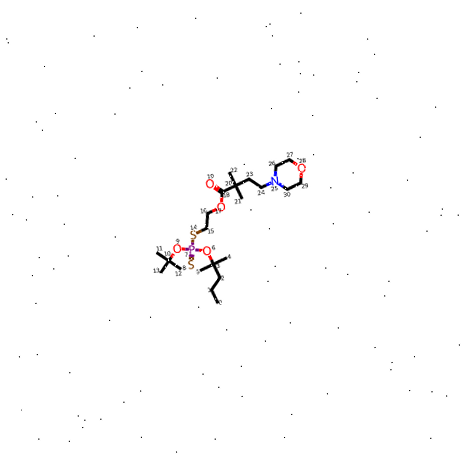 CCCC(C)(C)OP(=S)(OC(C)(C)C)SCCOC(=O)C(C)(C)CCN1CCOCC1